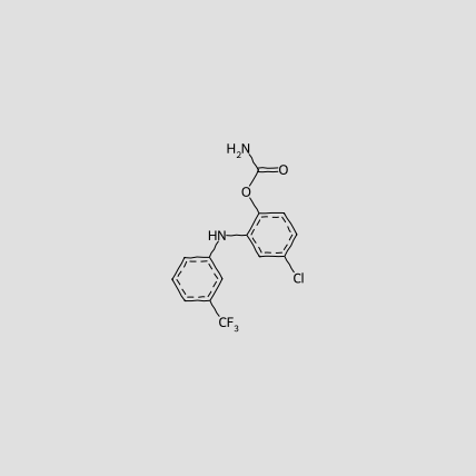 NC(=O)Oc1ccc(Cl)cc1Nc1cccc(C(F)(F)F)c1